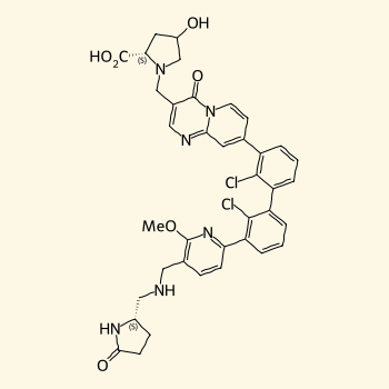 COc1nc(-c2cccc(-c3cccc(-c4ccn5c(=O)c(CN6CC(O)C[C@H]6C(=O)O)cnc5c4)c3Cl)c2Cl)ccc1CNC[C@@H]1CCC(=O)N1